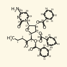 CCCC(=O)C(OC(=O)c1ccccc1)[C@H]1O[C@@H](n2ccc(N)nc2=O)[C@H](OC(=O)c2ccccc2)[C@@H]1OC(=O)c1ccccc1